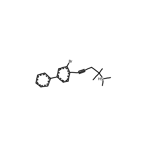 C[SiH](C)C(C)(C)CC#Cc1ccc(-c2ccccc2)cc1Br